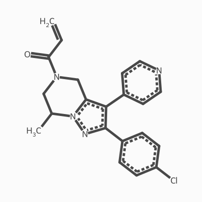 C=CC(=O)N1Cc2c(-c3ccncc3)c(-c3ccc(Cl)cc3)nn2C(C)C1